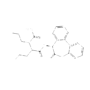 NC(=O)C(CCC(F)(F)F)C(CCC(F)(F)F)C(=O)N[C@@H]1C(=O)Nc2ccccc2-c2ccccc21